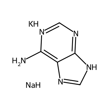 Nc1ncnc2[nH]cnc12.[KH].[NaH]